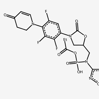 CCC(=O)OP(=O)(O)N(CC1CN(c2cc(F)c(N3C=CC(=O)CC3)c(F)c2F)C(=O)O1)c1ccon1